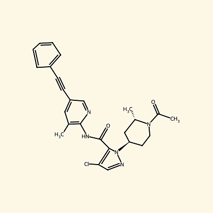 CC(=O)N1CC[C@@H](n2ncc(Cl)c2C(=O)Nc2ncc(C#Cc3ccccc3)cc2C)C[C@@H]1C